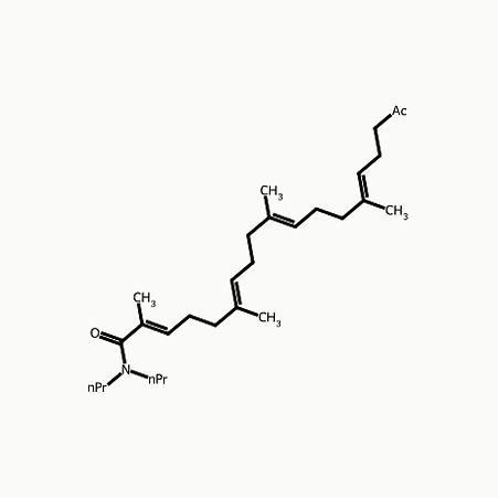 CCCN(CCC)C(=O)C(C)=CCCC(C)=CCCC(C)=CCCC(C)=CCCC(C)=O